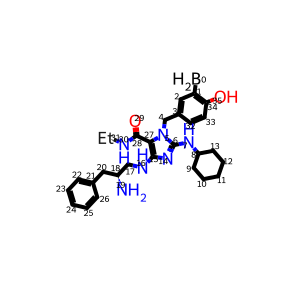 Bc1cc(Cn2c(NC3CCCCC3)nc(NC[C@H](N)Cc3ccccc3)c2C(=O)NCC)ccc1O